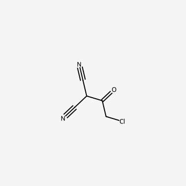 N#CC(C#N)C(=O)CCl